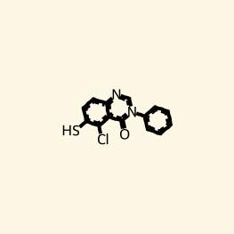 O=c1c2c(Cl)c(S)ccc2ncn1-c1ccccc1